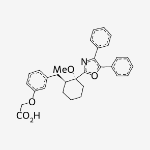 CO[C@]1(c2nc(-c3ccccc3)c(-c3ccccc3)o2)CCCC[C@H]1Cc1cccc(OCC(=O)O)c1